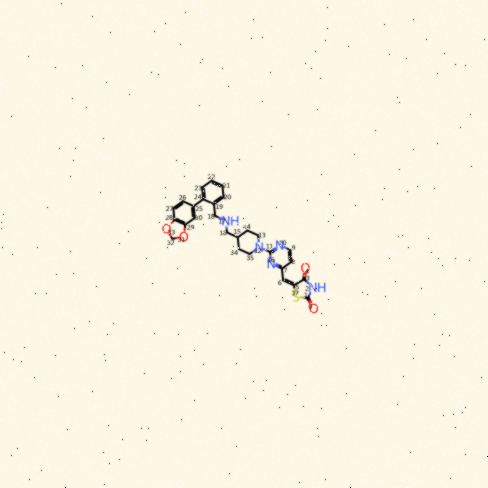 O=C1NC(=O)/C(=C\c2ccnc(N3CCC(CNCc4ccccc4-c4ccc5c(c4)OCO5)CC3)n2)S1